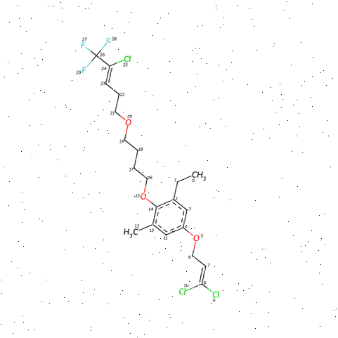 CCc1cc(OCC=C(Cl)Cl)cc(C)c1OCCCCOCCC=C(Cl)C(F)(F)F